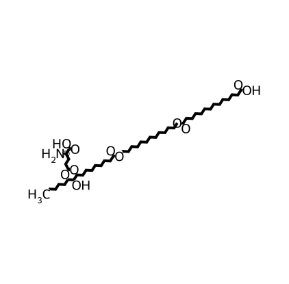 CCCCCC(OC(=O)CC[C@@H](N)C(=O)O)C(O)CCCCCCCCC(=O)OCCCCCCCCCCCCOC(=O)CCCCCCCCCCCCC(=O)O